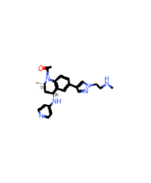 CNCCn1cc(-c2ccc3c(c2)[C@H](Nc2ccncc2)C[C@H](C)N3C(C)=O)cn1